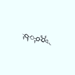 CCCCOc1ccc(-c2ccc(C3CC=C(c4ccc(C)c(F)c4F)CC3)c(F)c2)c(F)c1F